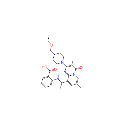 CCOCC1CCN(c2nc3c(C(C)Nc4ccccc4C(=O)O)cc(C)cn3c(=O)c2C)CC1